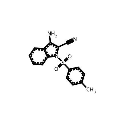 Cc1ccc(S(=O)(=O)n2c(C#N)c(N)c3ccccc32)cc1